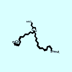 CCCCC/C=C\C/C=C\C/C=C\CCCCCC1(CCCCC/C=C\C/C=C\CCCCCCCC)OCC(CCO)O1